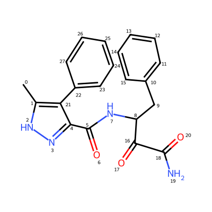 Cc1[nH]nc(C(=O)NC(Cc2ccccc2)C(=O)C(N)=O)c1-c1ccccc1